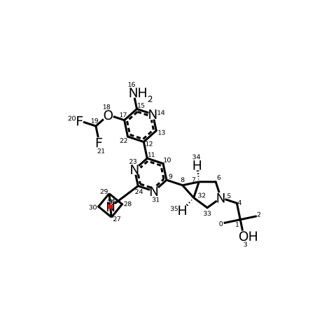 CC(C)(O)CN1C[C@@H]2C(c3cc(-c4cnc(N)c(OC(F)F)c4)nc(N4CC5CC4C5)n3)[C@@H]2C1